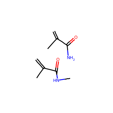 C=C(C)C(=O)NC.C=C(C)C(N)=O